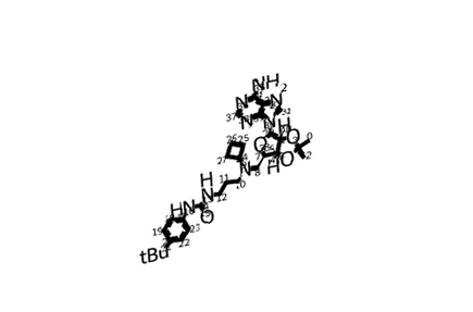 CC1(C)O[C@@H]2[C@H](O1)[C@@H](CN(CCCNC(=O)Nc1ccc(C(C)(C)C)cc1)C1CCC1)O[C@H]2n1cnc2c(N)ncnc21